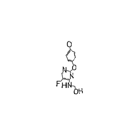 COc1ccc(Oc2ncc(F)c(NCO)n2)cc1